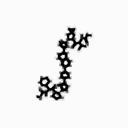 COC(=O)NC(C(=O)N1CC2(CC2)C[C@H]1c1nc(-c2ccc3cc(-c4ccc(-c5cnc([C@@H]6SCCN6C(=O)[C@@H](NC(=O)OC)C6CCOCC6)[nH]5)cc4)ccc3c2)c[nH]1)C(C)C